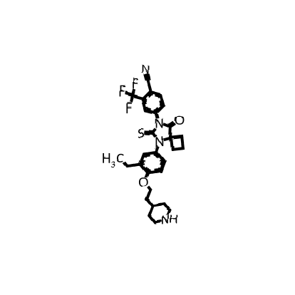 CCc1cc(N2C(=S)N(c3ccc(C#N)c(C(F)(F)F)c3)C(=O)C23CCC3)ccc1OCCC1CCNCC1